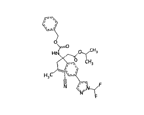 CC(=CC#N)CC(CC(=O)OC(C)C)(NC(=O)OCc1ccccc1)c1ccc(-c2cnn(C(F)F)c2)cc1